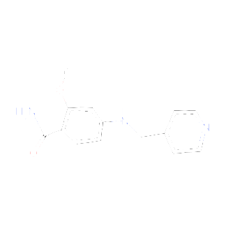 COc1cc(NCc2ccncc2)ccc1C(N)=O